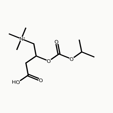 CC(C)OC(=O)OC(CC(=O)O)C[N+](C)(C)C